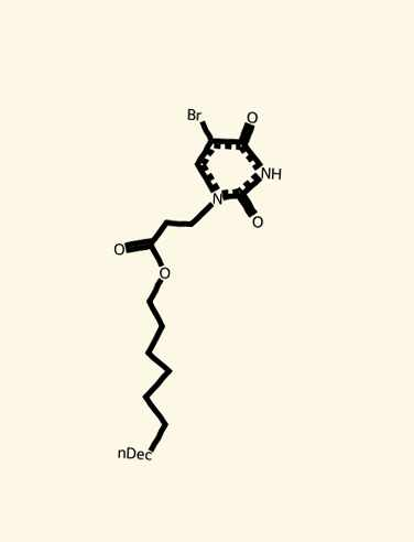 CCCCCCCCCCCCCCCCOC(=O)CCn1cc(Br)c(=O)[nH]c1=O